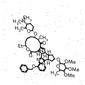 CC[C@H]1CCC[C@H](O[C@H]2CC[C@H](N(C)C)C(C)O2)[C@@H](C)C(=O)C2=C[C@H]3[C@@H]4C[C@H](OC5OC(C)C(OC)C(OC)C5OC)C[C@H]4c4c(nc5c(OCc6ccccc6)cccn45)[C@H]3[C@@H]2CC(=O)O1